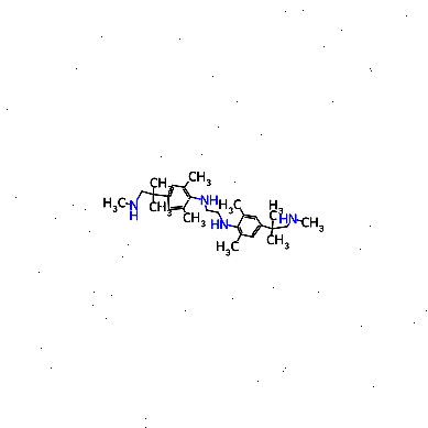 CNCC(C)(C)c1cc(C)c(NCCNc2c(C)cc(C(C)(C)CNC)cc2C)c(C)c1